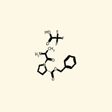 CC(N)C(=O)N1CCC[C@H]1C(=O)OCc1ccccc1.O=C(O)C(F)(F)F